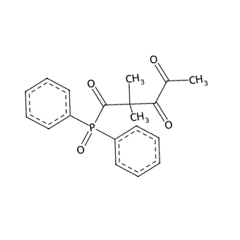 CC(=O)C(=O)C(C)(C)C(=O)P(=O)(c1ccccc1)c1ccccc1